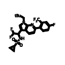 CC(C)(C)Cn1cc(C(NS(=O)(=O)C2CC2)C(F)F)c2ccc(-c3ccc(F)cc3C(F)(F)F)nc21